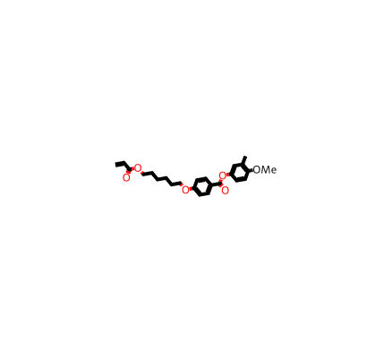 C=CC(=O)OCCCCCCOc1ccc(C(=O)Oc2ccc(OC)c(C)c2)cc1